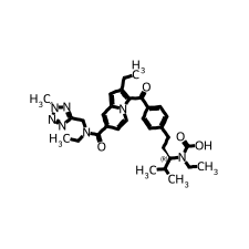 CCc1cc2cc(C(=O)N(CC)Cc3nnn(C)n3)ccn2c1C(=O)c1ccc(CC[C@H](C(C)C)N(CC)C(=O)O)cc1